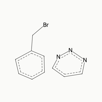 BrCc1ccccc1.c1cnnnc1